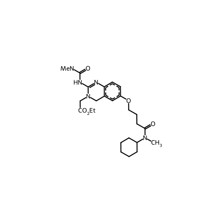 CCOC(=O)CN1Cc2cc(OCCCC(=O)N(C)C3CCCCC3)ccc2N=C1NC(=O)NC